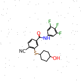 N#Cc1ccc(C(=O)Nc2cc(F)c(F)c(F)c2)cc1SC1CCC(O)CC1